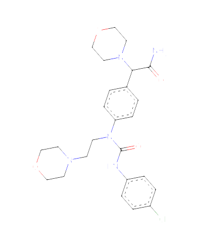 NC(=O)C(c1ccc(N(CCN2CCOCC2)C(=O)Nc2ccc(Cl)cc2)cc1)N1CCOCC1